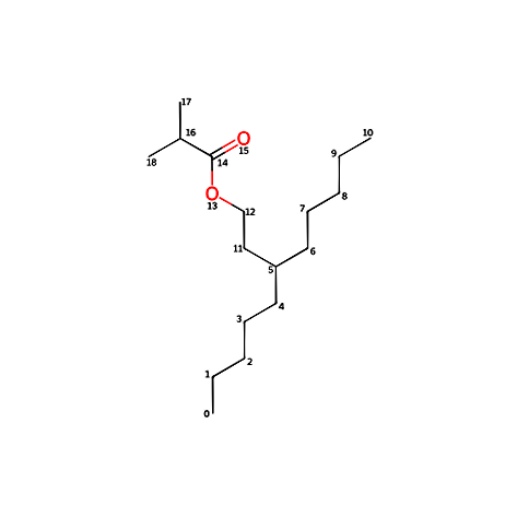 CCCCCC(CCCCC)CCOC(=O)C(C)C